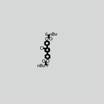 CCCC[C@H](F)C(=O)OC1CCC(c2ccc(C3CCC(OC(=O)[C@@H](F)CCCC)CC3)c(Cl)c2)CC1